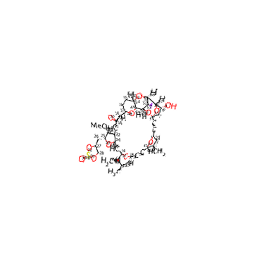 C=C1C[C@@H]2CC[C@]34C[C@@H](O)[C@H](O3)[C@@H]3O[C@H]5CC[C@H](CC(=O)C[C@@H]6[C@@H](OC)[C@@H](C[C@H]7COS(=O)O7)O[C@H]6C[C@H]6O[C@@H](CC[C@@H]1O2)C[C@@H](C)C6=C)O[C@@H]5[C@H](O4)C3I